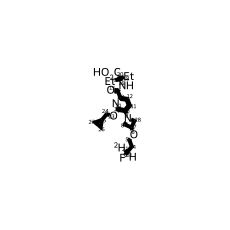 [2H]C([2H])(F)CCOC1CN(c2ccc(C(=O)NC(CC)(CC)C(=O)O)nc2OCC2CC2)C1